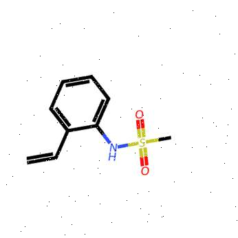 C=Cc1ccccc1NS(C)(=O)=O